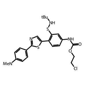 CNc1ccc(-c2ncc(-c3ccc(NC(=O)OCCCl)cc3SNC(C)(C)C)s2)cc1